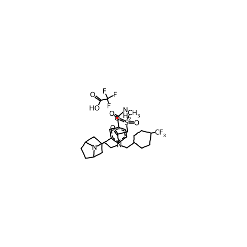 CS(=O)(=O)CC(=O)N(CCN1C2CCC1CC(c1cccc(C(N)=O)c1)C2)CC1CCC(C(F)(F)F)CC1.O=C(O)C(F)(F)F